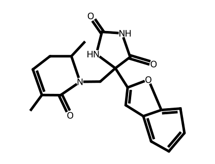 CC1=CCC(C)N(CC2(c3cc4ccccc4o3)NC(=O)NC2=O)C1=O